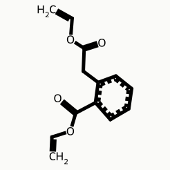 C=COC(=O)Cc1ccccc1C(=O)OC=C